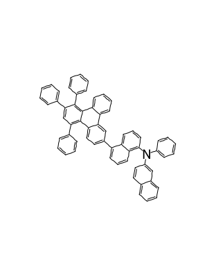 c1ccc(-c2cc(-c3ccccc3)c3c4ccc(-c5cccc6c(N(c7ccccc7)c7ccc8ccccc8c7)cccc56)cc4c4ccccc4c3c2-c2ccccc2)cc1